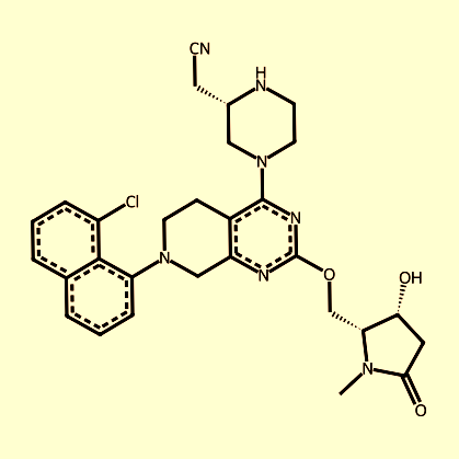 CN1C(=O)C[C@@H](O)[C@H]1COc1nc2c(c(N3CCN[C@@H](CC#N)C3)n1)CCN(c1cccc3cccc(Cl)c13)C2